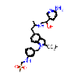 CC(Cc1ccc2c(c1)cc(C(=O)O)n2Cc1cccc(NCS(C)(=O)=O)c1)NCC(O)c1ccc(N)nc1